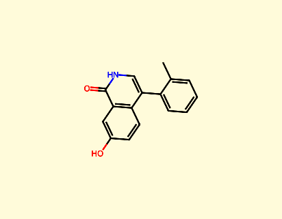 Cc1ccccc1-c1c[nH]c(=O)c2cc(O)ccc12